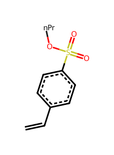 C=Cc1ccc(S(=O)(=O)OCCC)cc1